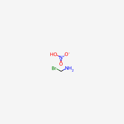 NCBr.O=[N+]([O-])O